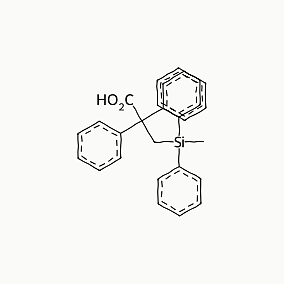 C[Si](CC(C(=O)O)(c1ccccc1)c1ccccc1)(c1ccccc1)c1ccccc1